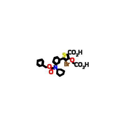 O=C(O)COc1c(C(=O)O)sc(-c2cccc(N(C(=O)OCc3ccccc3)C3CCCCC3)c2)c1Br